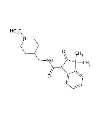 CC1(C)C(=O)N(C(=O)NCC2CCN(C(=O)O)CC2)c2ccccc21